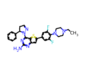 CCN1CCN(c2c(F)cc(-c3cc4nc(N)nc(N5N=CCC5c5ccccc5)c4s3)cc2F)CC1